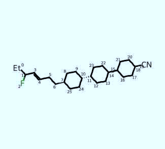 CCC(F)/C=C/CC[C@H]1CC[C@H](C2CCC(C3CCC(C#N)CC3)CC2)CC1